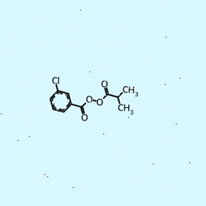 CC(C)C(=O)OOC(=O)c1cccc(Cl)c1